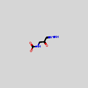 N=[N+]=CC(=O)CNC(=O)[O-]